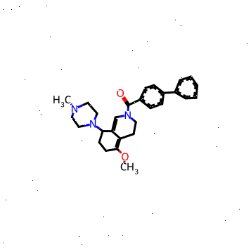 COC1=C2CCN(C(=O)c3ccc(-c4ccccc4)cc3)C=C2C(N2CCN(C)CC2)CC1